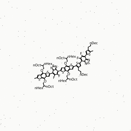 CCCCCCCCCCCCc1cc(-c2c(F)c(F)c(-c3cc(CCCCCCCCCCCC)c(-c4cc5c(OCC(CCCCCC)CCCCCCCC)c6sc(-c7c(F)c(F)c(-c8cc9c(OCC(CCCCCC)CCCCCCCC)c%10sc(C)cc%10c(OCC(CCCCCC)CCCCCCCC)c9s8)c8nsnc78)cc6c(OCC(CCCCCC)CCCCCCCC)c5s4)s3)c3nsnc23)sc1C